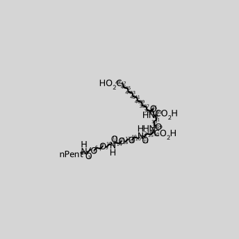 CCCCCNC(=O)COCCOCCNC(=O)COCCOCCNC(=O)CC[C@H](NC(=O)CC[C@H](NC(=O)CCCCCCCCCCCCC(=O)O)C(=O)O)C(=O)O